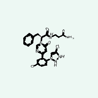 NC(=O)CCNC(=O)[C@H](Cc1ccccc1)n1cnc(-c2cc(Cl)ccc2N2C=C(Cl)NN2)cc1=O